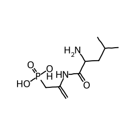 C=C(CP(=O)(O)O)NC(=O)C(N)CC(C)C